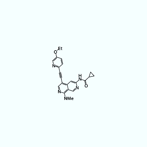 CCOc1ccc(C#Cc2cnc(NC)c3cnc(NC(=O)C4CC4)cc23)nc1